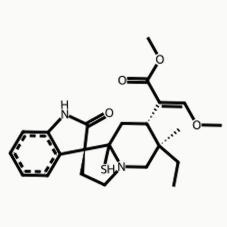 CC[C@@]1(C)CN2CC[C@@]3(C(=O)Nc4ccccc43)C2(S)C[C@@H]1/C(=C\OC)C(=O)OC